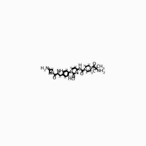 CC(C)(N)C(=O)N1CCN(C(=O)Nc2ccn(-c3ccc(C[C@H](N)C(=O)N4CC(N)C4)cc3)c(=O)n2)CC1.Cl